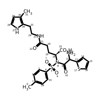 Cc1ccc(S(=O)(=O)N(C(=O)C(N)c2cccs2)[C@@H](CCC(=O)NCCc2[nH]ccc2C)C(=O)O)cc1